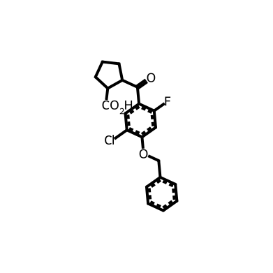 O=C(O)C1CCCC1C(=O)c1cc(Cl)c(OCc2ccccc2)cc1F